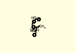 CCCCN1C(=O)[C@H](CC2CCCCC2)NC(=O)C12CCN(Cc1ccc(C(O)c3ccccc3)cc1)CC2